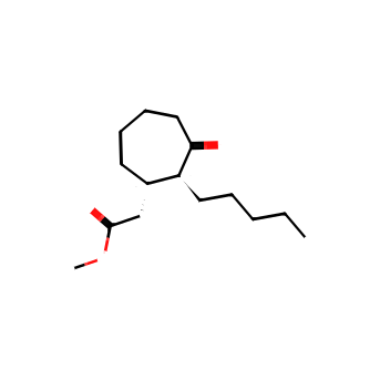 CCCCC[C@@H]1C(=O)CCCC[C@H]1CC(=O)OC